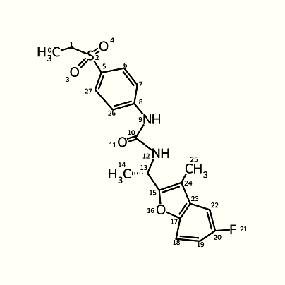 CCS(=O)(=O)c1ccc(NC(=O)N[C@@H](C)c2oc3ccc(F)cc3c2C)cc1